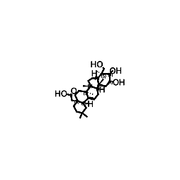 CC1(C)CC[C@]2(CC(=O)O)CC[C@]3(C)C(=CC[C@@H]4[C@@]5(C)C[C@@H](O)[C@H](O)[C@](C)(CO)[C@@H]5CC[C@]43C)[C@@H]2C1